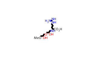 COCC(O)COCC(O)CNC(CCCNC(=N)N)C(=O)O